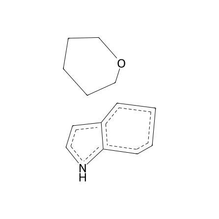 C1CCOCC1.c1ccc2[nH]ccc2c1